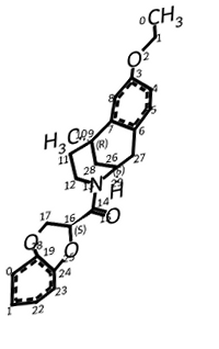 CCOc1ccc2c(c1)[C@]1(C)CCN(C(=O)[C@@H]3COc4ccccc4O3)[C@H](C2)C1